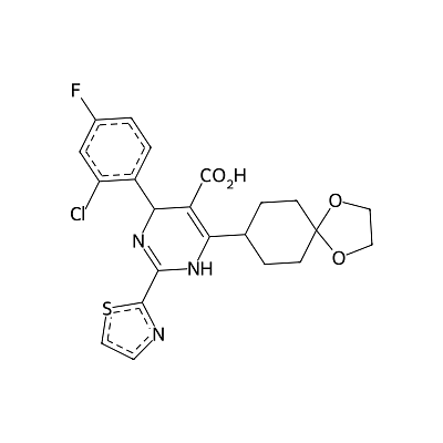 O=C(O)C1=C(C2CCC3(CC2)OCCO3)NC(c2nccs2)=NC1c1ccc(F)cc1Cl